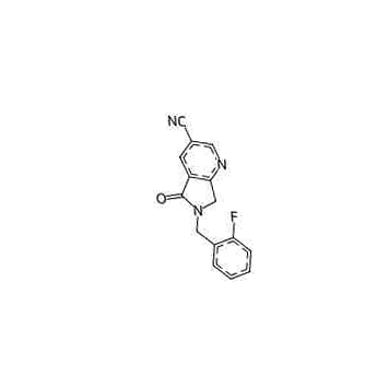 N#Cc1cnc2c(c1)C(=O)N(Cc1ccccc1F)C2